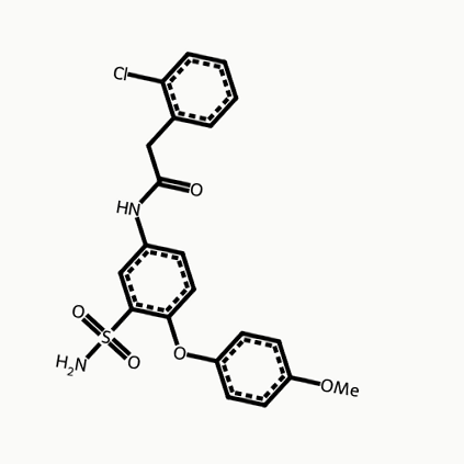 COc1ccc(Oc2ccc(NC(=O)Cc3ccccc3Cl)cc2S(N)(=O)=O)cc1